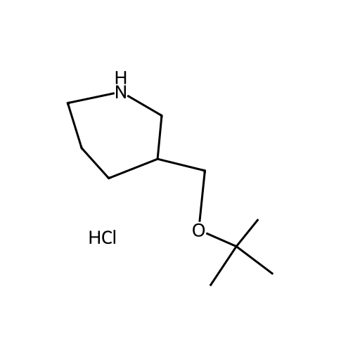 CC(C)(C)OCC1CCCNC1.Cl